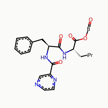 CC(C)C[C@H](NC(=O)[C@H](Cc1ccccc1)NC(=O)c1cnccn1)C(=O)OB=O